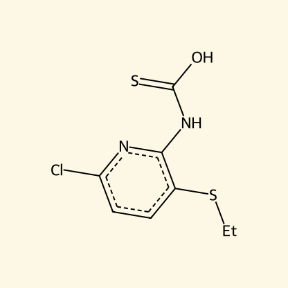 CCSc1ccc(Cl)nc1NC(O)=S